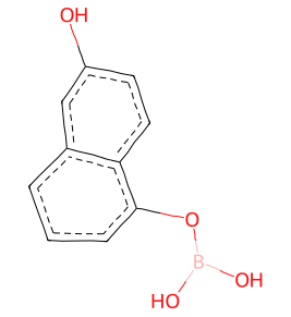 OB(O)Oc1cccc2cc(O)ccc12